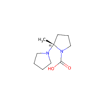 C[C@@]1(N2CCCC2)CCCN1C(=O)O